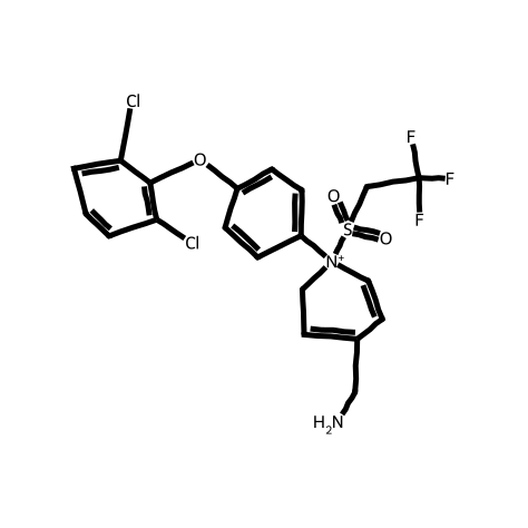 NCC1=CC[N+](c2ccc(Oc3c(Cl)cccc3Cl)cc2)(S(=O)(=O)CC(F)(F)F)C=C1